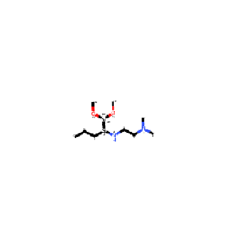 CCC[Si](NCCN(C)C)[SiH](OC)OC